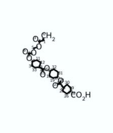 C=CC(=O)OCOC(=O)OC1CCC(C(=O)OC2CCC(OC(=O)C3CCC(C(=O)O)CC3)CC2)CC1